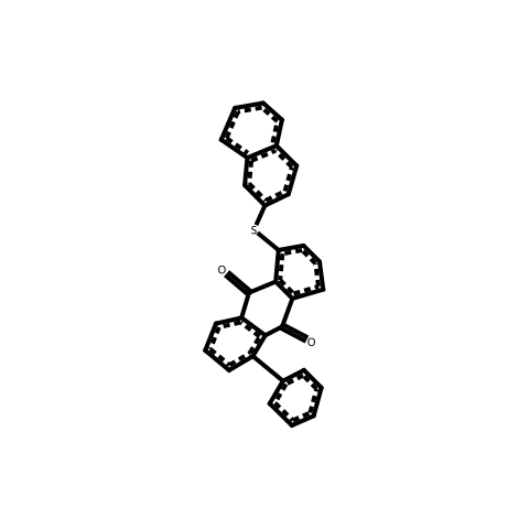 O=C1c2cccc(-c3ccccc3)c2C(=O)c2cccc(Sc3ccc4ccccc4c3)c21